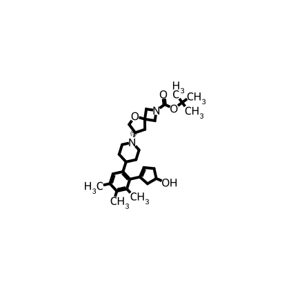 Cc1cc(C2CCN([C@@H]3COC4(C3)CN(C(=O)OC(C)(C)C)C4)CC2)c(C2=CCC(O)C2)c(C)c1C